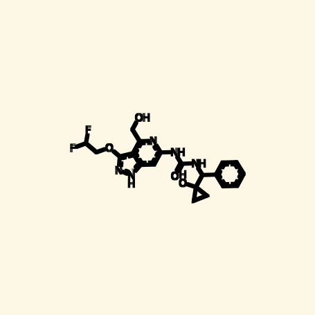 O=C(Nc1cc2[nH]nc(OCC(F)F)c2c(CO)n1)NC(c1ccccc1)C1(O)CC1